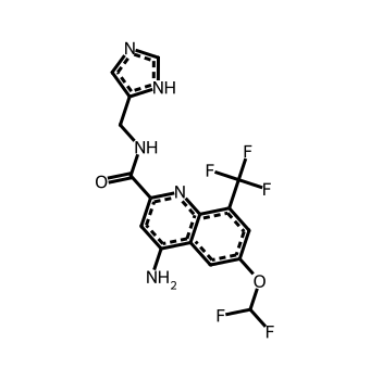 Nc1cc(C(=O)NCc2cnc[nH]2)nc2c(C(F)(F)F)cc(OC(F)F)cc12